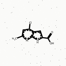 Cc1cc(Cl)c2cc(C(=O)O)[nH]c2n1